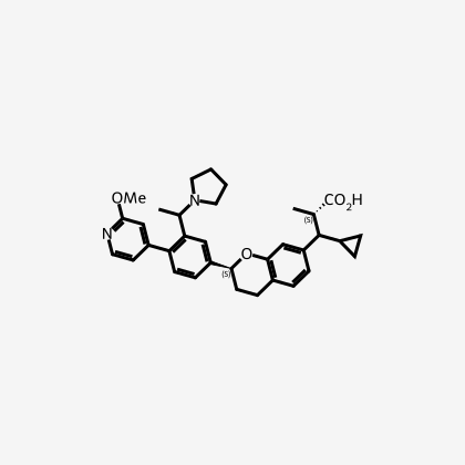 COc1cc(-c2ccc([C@@H]3CCc4ccc(C(C5CC5)[C@H](C)C(=O)O)cc4O3)cc2C(C)N2CCCC2)ccn1